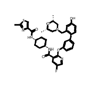 Cc1nc(C(=O)N[C@H]2CC[C@@H](NC(=O)c3cc(F)cnc3Oc3cccc(-c4ccc(O)cc4CN4C[C@@H](C)O[C@@H](C)C4)c3)CC2)cs1